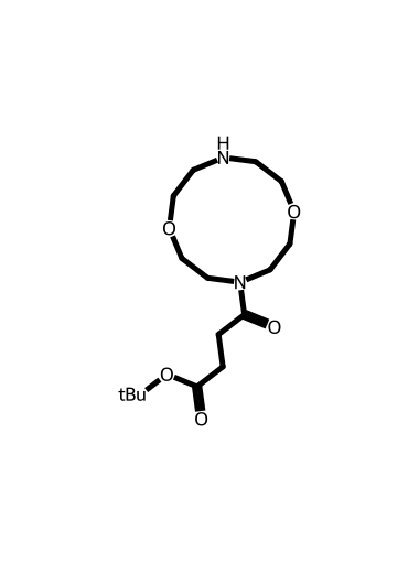 CC(C)(C)OC(=O)CCC(=O)N1CCOCCNCCOCC1